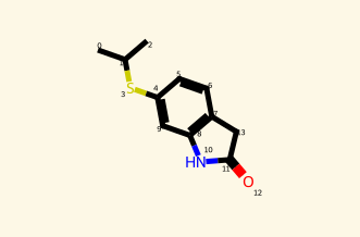 CC(C)Sc1ccc2c(c1)NC(=O)C2